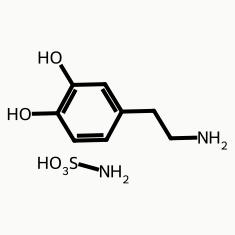 NCCc1ccc(O)c(O)c1.NS(=O)(=O)O